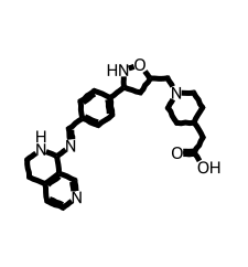 O=C(O)CC1CCN(CC2CC(c3ccc(C=NC4NCCc5ccncc54)cc3)NO2)CC1